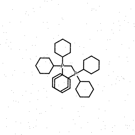 C1CCC([P](C[P](C2CCCCC2)(C2CCCCC2)C2CCCCC2)(C2CCCCC2)C2CCCCC2)CC1